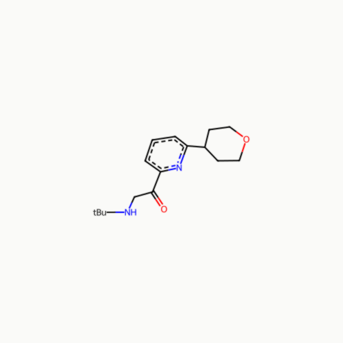 CC(C)(C)NCC(=O)c1cccc(C2CCOCC2)n1